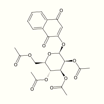 CC(=O)OC[C@H]1O[C@@H](OC2=CC(=O)c3ccccc3C2=O)[C@@H](OC(C)=O)[C@@H](OC(C)=O)[C@@H]1OC(C)=O